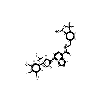 CC1(C)OB(O)c2cc(CNC(=O)c3ccc(C4=NO[C@](c5cc(Cl)c(F)c(Cl)c5)(C(F)(F)F)C4)n4cccc34)ccc21